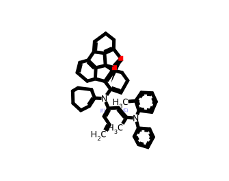 C=C/C=C(\C=C(/C)N(c1ccccc1)c1ccccc1C)N(C1=CCCCCC1)C1=CCCC2=C1C1CC=CC3=C1C21C2=C(CCCC2)C2=C1C3=CCC2